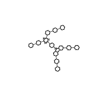 c1ccc(-c2ccc(-c3cccc(-c4nc(-c5ccc(-c6ccccc6)cc5)nc(-c5ccc(-n6c7ccc(-c8ccc(-c9ccccc9)cc8)cc7c7cc(-c8ccc(-c9ccccc9)cc8)ccc76)cc5)n4)c3)cc2)cc1